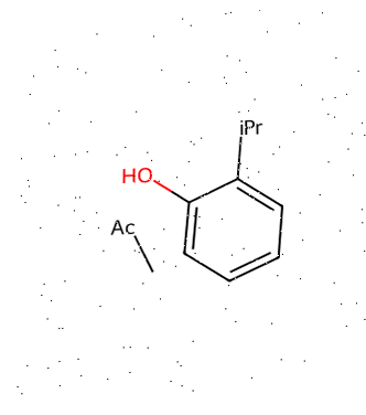 CC(C)=O.CC(C)c1ccccc1O